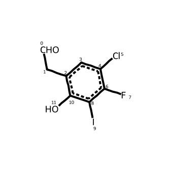 O=CCc1cc(Cl)c(F)c(I)c1O